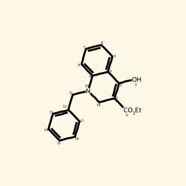 CCOC(=O)C1=C(O)c2ccccc2N(Cc2ccccc2)C1